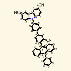 N#Cc1ccc2c(c1)c1cc(C#N)ccc1n2-c1ccc(-c2ccc(-c3c4ccccc4c(-c4ccccc4)c4ccccc34)c(C#N)c2)cc1